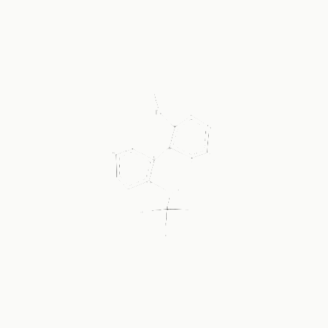 CNc1cnccc1-c1ccccc1OC(F)(F)F